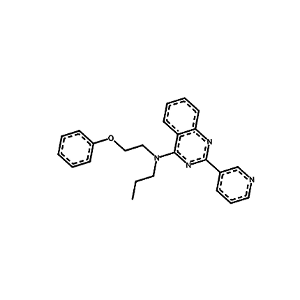 CCCN(CCOc1ccccc1)c1nc(-c2cccnc2)nc2ccccc12